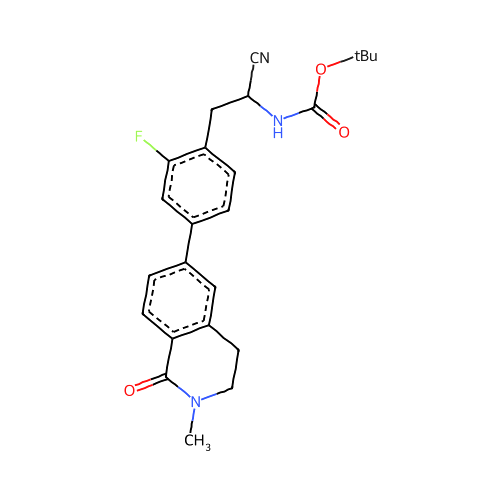 CN1CCc2cc(-c3ccc(CC(C#N)NC(=O)OC(C)(C)C)c(F)c3)ccc2C1=O